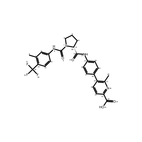 Cc1cc(NC(=O)N2CCC[C@@H]2C(=O)Nc2ccc(-c3ccc(C(=O)O)nc3C)cc2)ccc1C(F)(F)F